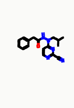 CC(C)CN(NC(=O)Cc1ccccc1)c1ccnc(C#N)n1